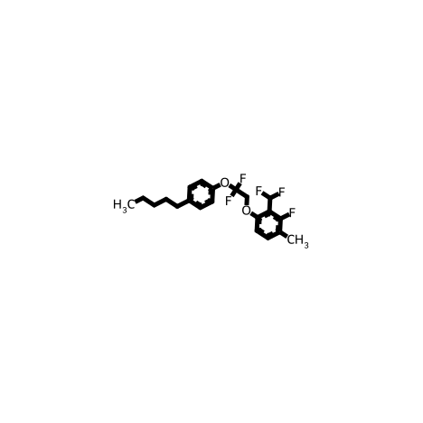 CCCCCc1ccc(OC(F)(F)COc2ccc(C)c(F)c2C(F)F)cc1